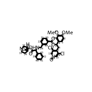 COc1ccc(C(Cc2c(Cl)c[n+]([O-])cc2Cl)OC(=O)c2cccc(CNC(C(=O)O[C@H]3CN4CCC3CC4)c3ccccc3)c2)cc1OC